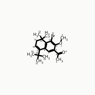 COc1c(C(C)=O)cc2c(c1Br)C(C)(C)CC=C2C(C)(C)C